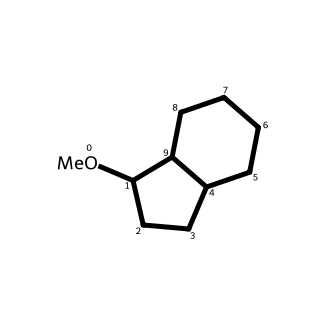 COC1CCC2CCCCC21